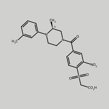 Cc1cccc(N2CCN(C(=O)c3ccc(S(=O)(=O)CC(=O)O)c([N+](=O)[O-])c3)C[C@@H]2C)c1